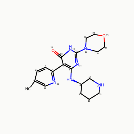 N#Cc1ccc(-c2c(N[C@@H]3CCCNC3)nc(N3CCOCC3)[nH]c2=O)nc1